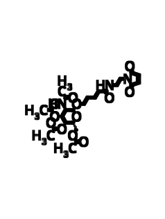 CC(=O)N[C@H]1[C@H](OCCCCC(=O)NCCN2C(=O)C=CC2=O)O[C@H](COC(C)=O)[C@H](OC(C)=O)[C@@H]1OC(C)=O